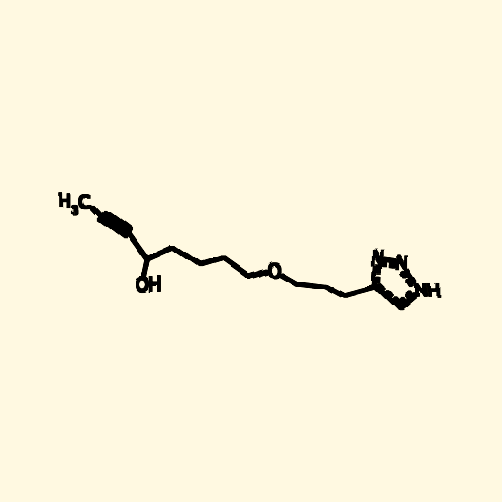 CC#CC(O)CCCCOCCCc1c[nH]nn1